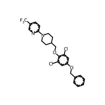 FC(F)(F)c1ccc(N2CCC(COc3c(Cl)cc(OCc4ccccc4)cc3Cl)CC2)nc1